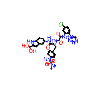 CN(C)S(=O)(=O)Nc1ccc(C[C@H](NC(=O)C(=O)Nc2cc(Cl)ccc2-n2cnnn2)C(=O)Nc2ccc3[nH]c(C(O)O)cc3c2)cc1